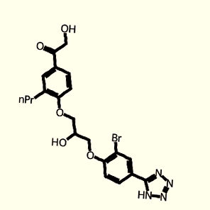 CCCc1cc(C(=O)CO)ccc1OCC(O)COc1ccc(-c2nnn[nH]2)cc1Br